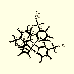 CC1=C(C)C(C)([Si](c2cc(C)c(C)c([Si](C)(C)C)c2[Si](C)(C)C)(c2cc(C)c(C)c([Si](C)(C)C)c2[Si](C)(C)C)c2cc(C)c(C)c([Si](C)(C)C)c2[Si](C)(C)C)[C]([Ti+3])=C1C.[Cl-].[Cl-].[Cl-]